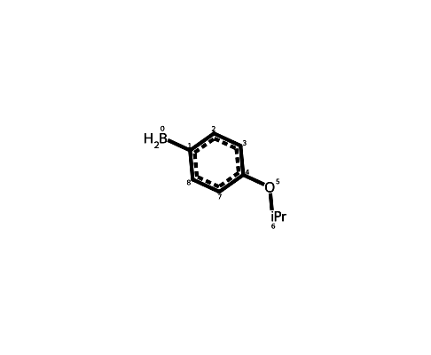 Bc1ccc(OC(C)C)cc1